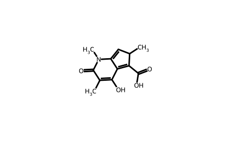 Cc1c(O)c2c(n(C)c1=O)=CC(C)C=2C(=O)O